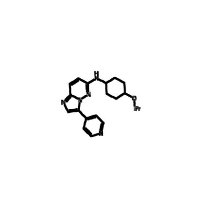 CC(C)OC1CCC(Nc2ccc3ncc(-c4ccncc4)n3n2)CC1